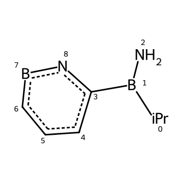 CC(C)B(N)c1cccbn1